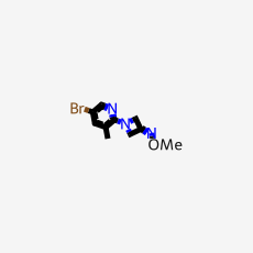 CON=C1CN(c2ncc(Br)cc2C)C1